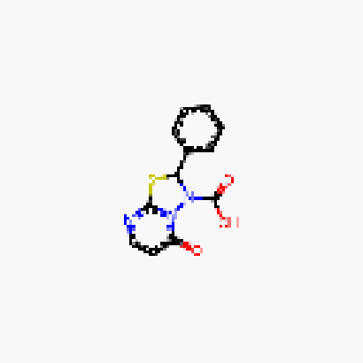 O=C(O)N1C(c2ccccc2)Sc2nccc(=O)n21